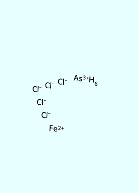 [AsH6+3].[Cl-].[Cl-].[Cl-].[Cl-].[Cl-].[Fe+2]